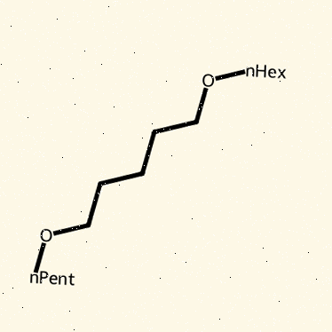 [CH2]CCCCOCCCCCOCCCCCC